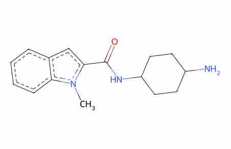 Cn1c(C(=O)NC2CCC(N)CC2)cc2ccccc21